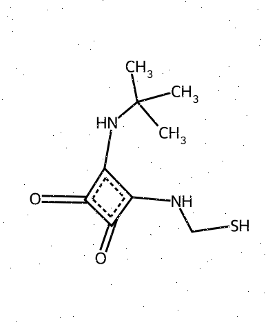 CC(C)(C)Nc1c(NCS)c(=O)c1=O